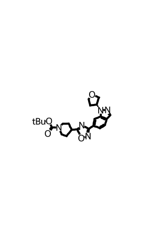 CC(C)(C)OC(=O)N1CCC(c2nc(-c3ccc4cnn([C@H]5CCOC5)c4c3)no2)CC1